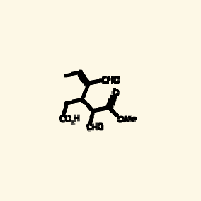 CC=C(C=O)C(CC(=O)O)C(C=O)C(=O)OC